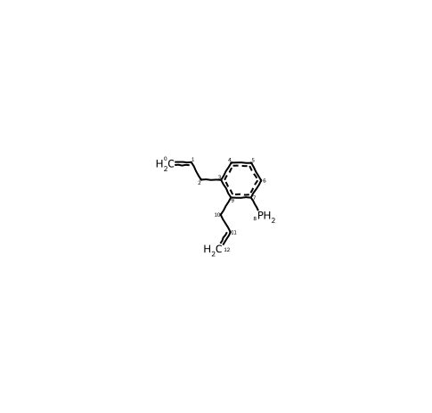 C=CCc1cccc(P)c1CC=C